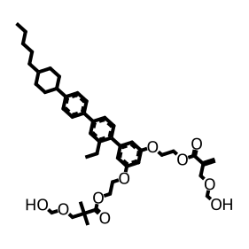 C=C(COCO)C(=O)OCCOc1cc(OCCOC(=O)C(C)(C)COCO)cc(-c2ccc(-c3ccc(C4CCC(CCCCC)CC4)cc3)cc2CC)c1